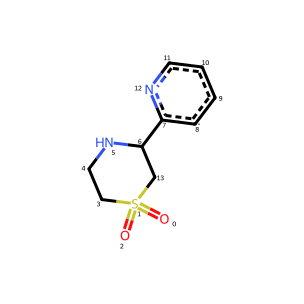 O=S1(=O)CCNC(c2[c]cccn2)C1